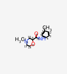 Cc1cccc(NC(=O)C2CN(C)CCO2)c1